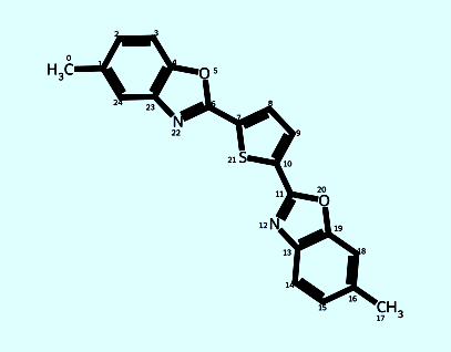 Cc1ccc2oc(-c3ccc(-c4nc5ccc(C)cc5o4)s3)nc2c1